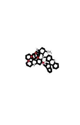 CC1C=Cc2sc3ccccc3c2C1N(c1ccc2c(c1)C1(c3ccccc3S2)c2ccccc2-c2ccccc21)c1ccc2c(c1)C1(c3ccccc3S2)c2ccccc2-c2ccccc21